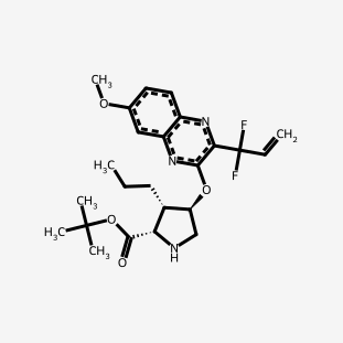 C=CC(F)(F)c1nc2ccc(OC)cc2nc1O[C@H]1CN[C@H](C(=O)OC(C)(C)C)[C@@H]1CCC